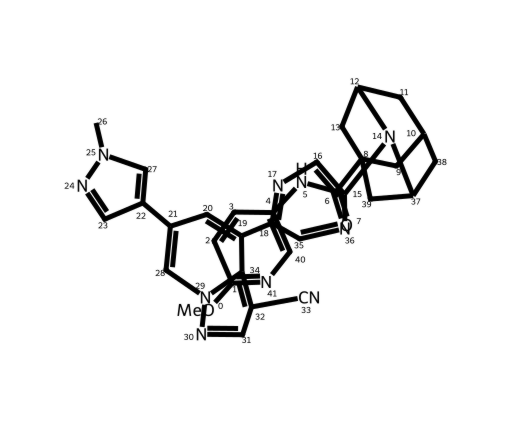 COc1ccc(NC(=O)C23CC4CC(C2)N(c2cnc(-c5cc(-c6cnn(C)c6)cn6ncc(C#N)c56)cn2)C(C4)C3)cn1